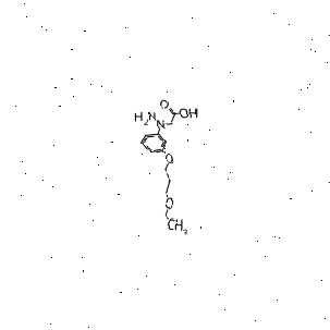 CCOCCCOc1cccc(N(N)CC(=O)O)c1